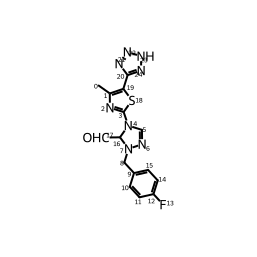 Cc1nc(N2C=NN(Cc3ccc(F)cc3)C2C=O)sc1-c1nn[nH]n1